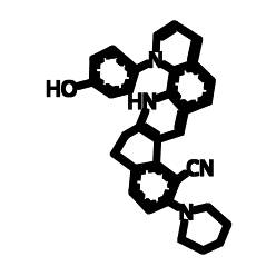 N#Cc1c(N2CCCCC2)ccc2c1C1=C(CC2)Nc2c3c(ccc2=C1)=CC=CN3c1ccc(O)cc1